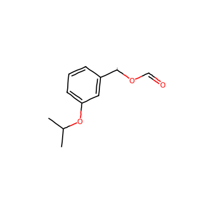 CC(C)Oc1cccc([CH]OC=O)c1